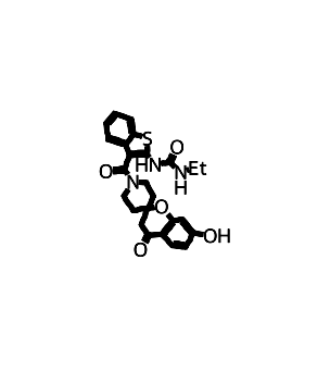 CCNC(=O)Nc1sc2ccccc2c1C(=O)N1CCC2(CC1)CC(=O)c1ccc(O)cc1O2